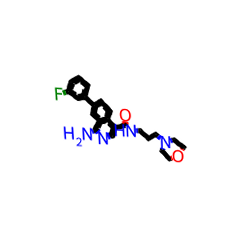 Nc1ncc(C(=O)NCCCN2CCOCC2)c2ccc(-c3cccc(F)c3)cc12